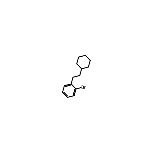 Brc1ccccc1CCC1CCCCC1